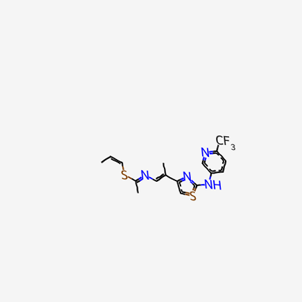 C/C=C\S/C(C)=N/C=C(\C)c1csc(Nc2ccc(C(F)(F)F)nc2)n1